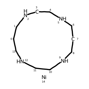 C1CNCCNCCCNCCNC1.[Ni]